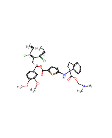 C=C/C(Cl)=C(C[C@H](OC(=O)c1ccc(NC2(C(=O)OCCN(C)C)CCc3ccccc32)s1)c1ccc(OC)c(OC)c1)\C(Cl)=C/C